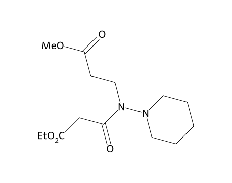 CCOC(=O)CC(=O)N(CCC(=O)OC)N1CCCCC1